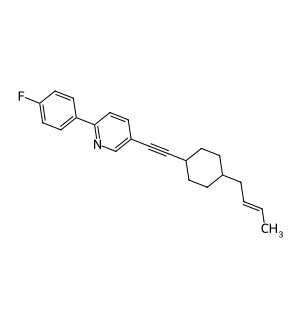 C/C=C/CC1CCC(C#Cc2ccc(-c3ccc(F)cc3)nc2)CC1